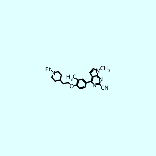 CCN1CCC(CCOc2ccc(-c3nc(C#N)nc4c3ccn4C)cc2C)CC1